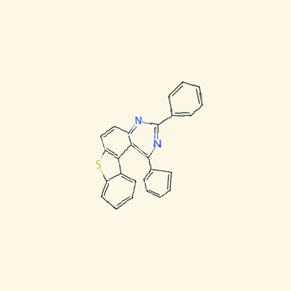 c1ccc(-c2nc(-c3ccccc3)c3c(ccc4sc5ccccc5c43)n2)cc1